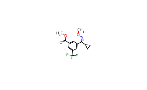 CO/N=C(\c1cc(C(=O)OC)cc(C(F)(F)F)c1)C1CC1